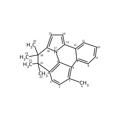 Cc1ccc2c3c1c1ccccc1c1ccc(n13)C(C)(C)C2(C)C